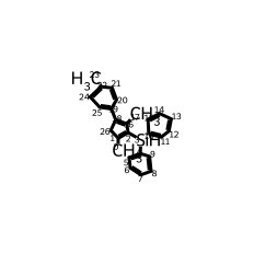 CC1=C([SiH](c2ccccc2)c2ccccc2)C(C)=C(c2ccc(C)cc2)C1